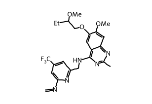 C=Nc1cc(C(F)(F)F)cc(CNc2nc(C)nc3cc(OC)c(OCC(CC)OC)cc23)n1